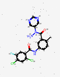 Cc1ccc(NC(=O)c2cc(F)c(Cl)cc2Cl)cc1C(=O)N(N)c1cncnc1